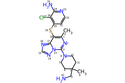 Cc1nc(N2CCC(C)(CN)CC2)n2ncnc2c1Sc1ccnc(N)c1Cl